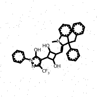 CN1C(=CC2C(O)C(c3c(C(F)(F)F)nn(-c4ccccc4)c3O)C2O)C(Cc2ccccc2)(c2ccccc2)c2ccccc21